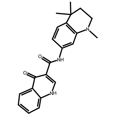 CN1CCC(C)(C)c2ccc(NC(=O)c3c[nH]c4ccccc4c3=O)cc21